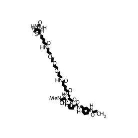 C=CC(=O)Nc1cccc(CNC(=O)[C@@H]2CCCN2C(=O)[C@H](CNC(=O)CCCC(=O)NCCCOCCOCCOCCCNC(=O)CCCC[C@@H]2SC[C@@H]3NC(=O)N[C@@H]32)NC(=O)[C@H](C)NC)c1